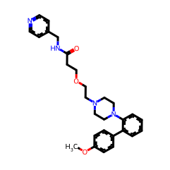 COc1ccc(-c2ccccc2N2CCN(CCOCCC(=O)NCc3ccncc3)CC2)cc1